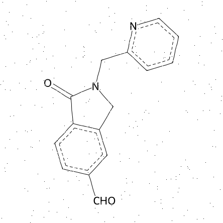 O=Cc1ccc2c(c1)CN(Cc1ccccn1)C2=O